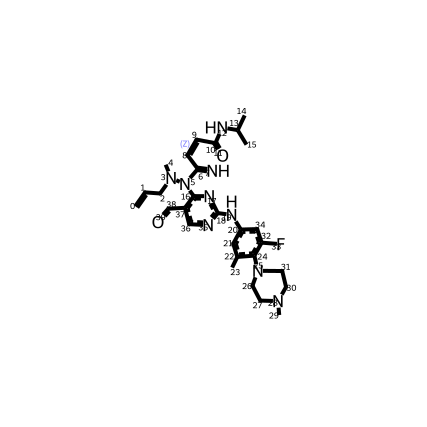 C=CCN(C)N(C(=N)/C=C\C(=O)NC(C)C)c1nc(Nc2cc(C)c(N3CCN(C)CC3)c(F)c2)ncc1C=O